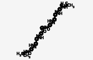 CN(C)CCNC(=O)c1ccc(-c2nc3ccc(-c4ccc5nc(-c6ccc(C(=O)NCC7CCCCN7C(=O)c7ccc(-c8nc9ccc(-c%10ccc%11nc(-c%12ccc(C(=O)NCCN(C)C)cc%12)[nH]c%11c%10)cc9[nH]8)cc7)cc6)[nH]c5c4)cc3[nH]2)cc1